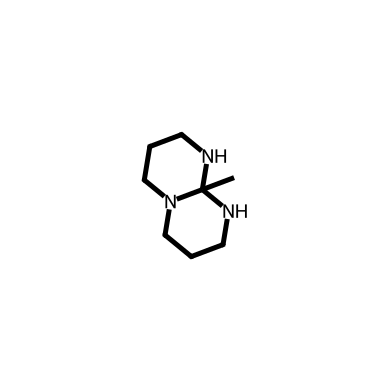 CC12NCCCN1CCCN2